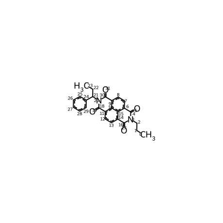 CCCN1C(=O)c2ccc3c4c(ccc(c24)C1=O)C(=O)N(C(CC)c1ccccc1)C3=O